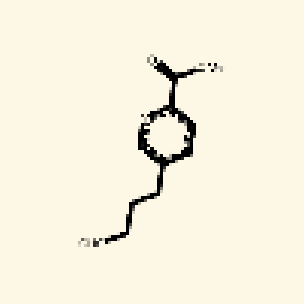 COC(=O)c1ccc(CCCC=O)cn1